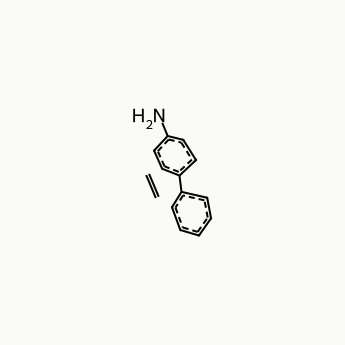 C=C.Nc1ccc(-c2ccccc2)cc1